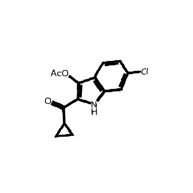 CC(=O)Oc1c(C(=O)C2CC2)[nH]c2cc(Cl)ccc12